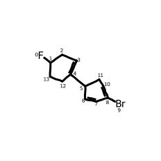 FC1CC=C(C2C=CC(Br)=CC2)CC1